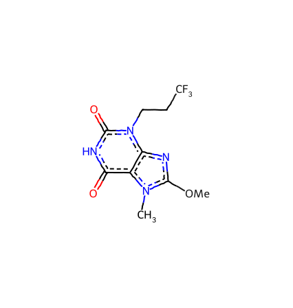 COc1nc2c(c(=O)[nH]c(=O)n2CCC(F)(F)F)n1C